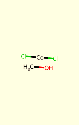 CO.[Cl][Co][Cl]